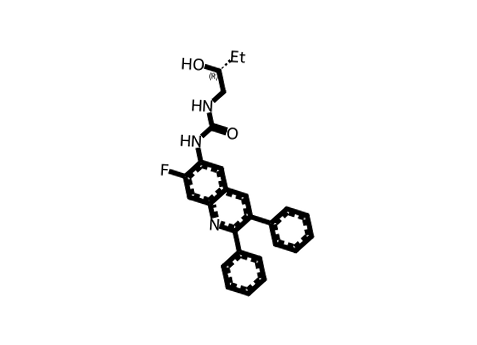 CC[C@@H](O)CNC(=O)Nc1cc2cc(-c3ccccc3)c(-c3ccccc3)nc2cc1F